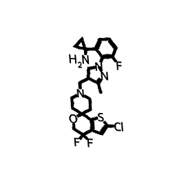 CC1=NN(c2c(F)cccc2C2(N)CC2)CC1CN1CCC2(CC1)OCC(F)(F)c1cc(Cl)sc12